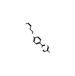 CCCCCCCC/C=C\CCOc1ccc(-c2ncc(CCCCCCCC)cn2)cc1